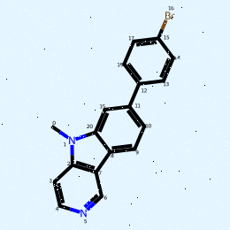 Cn1c2ccncc2c2ccc(-c3ccc(Br)cc3)cc21